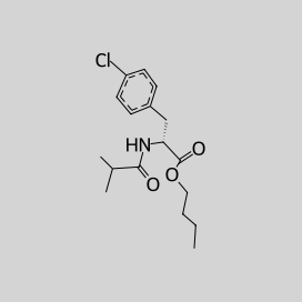 CCCCOC(=O)[C@@H](Cc1ccc(Cl)cc1)NC(=O)C(C)C